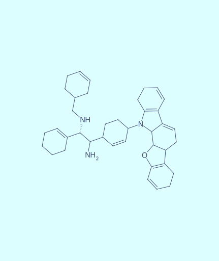 NC(C1C=CC(N2C3=C(C=CCC3)C3=CCC4C5=C(C=CCC5)OC4C32)CC1)[C@@H](NCC1CC=CCC1)C1=CCCCC1